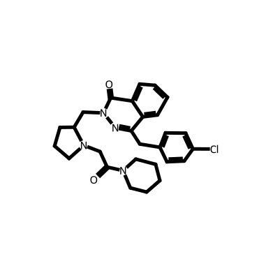 O=C(CN1CCCC1Cn1nc(Cc2ccc(Cl)cc2)c2ccccc2c1=O)N1CCCCC1